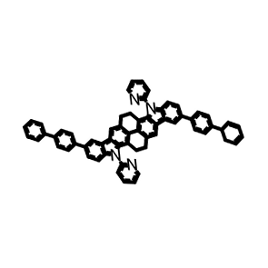 C1=CCC(c2ccc(-c3ccc4c(c3)c3cc5c6c(c3n4-c3ccccn3)CCc3cc4c7cc(-c8ccc(-c9ccccc9)cc8)ccc7n(-c7ccccn7)c4c(c3-6)CC5)cc2)C=C1